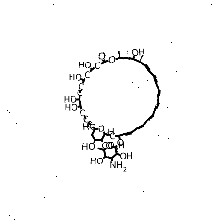 CC1OC(OC2/C=C/C=C/C=C/C=C/C=C/C=C/C=C/[C@H](C)C(O)[C@@H](C)[C@H](C)OC(=O)CC(O)CC(O)CCC(O)C(O)CCCC3(O)C[C@H](O)C(C(=O)O)[C@H](C2)O3)C(O)C(N)C1O